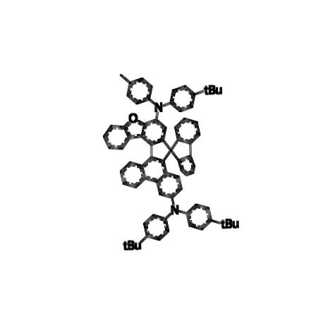 Cc1ccc(N(c2ccc(C(C)(C)C)cc2)c2cc3c(c4c2oc2ccccc24)-c2c(c4ccc(N(c5ccc(C(C)(C)C)cc5)c5ccc(C(C)(C)C)cc5)cc4c4ccccc24)C32c3ccccc3-c3ccccc32)cc1